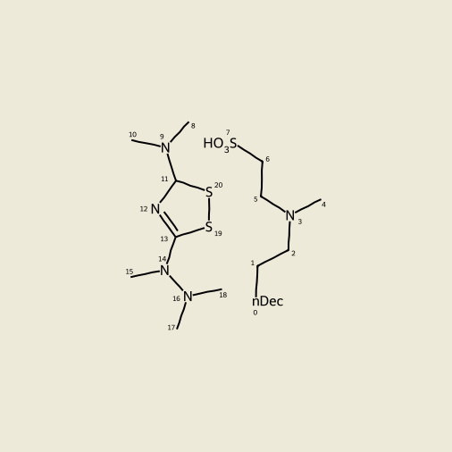 CCCCCCCCCCCCN(C)CCS(=O)(=O)O.CN(C)C1N=C(N(C)N(C)C)SS1